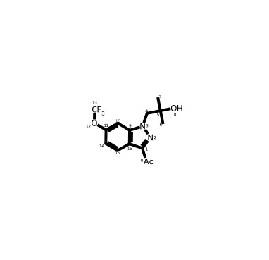 CC(=O)c1nn(CC(C)(C)O)c2cc(OC(F)(F)F)ccc12